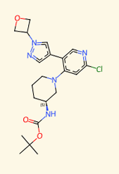 CC(C)(C)OC(=O)N[C@H]1CCCN(c2cc(Cl)ncc2-c2cnn(C3COC3)c2)C1